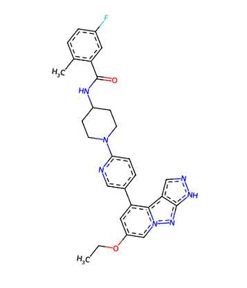 CCOc1cc(-c2ccc(N3CCC(NC(=O)c4cc(F)ccc4C)CC3)nc2)c2c3cn[nH]c3nn2c1